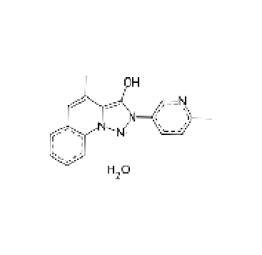 CC1=Cc2ccccc2N2[N]N(c3ccc(C)nc3)C(O)=C12.O